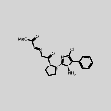 COC(=O)N=NCC(=O)N1CCC[C@H]1c1nc(Cl)c(-c2ccccc2)n1N